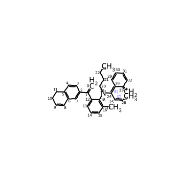 C=C(c1ccc2c(c1)C=CCC2)c1cccc(C)c1N(CCCC)C(/C=C\C)=c1\ccccc1=C